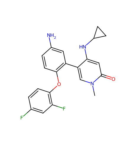 Cn1cc(-c2cc(N)ccc2Oc2ccc(F)cc2F)c(NC2CC2)cc1=O